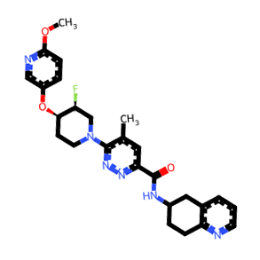 COc1ccc(O[C@@H]2CCN(c3nnc(C(=O)NC4CCc5ncccc5C4)cc3C)C[C@@H]2F)cn1